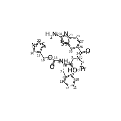 CC(C)CN(C[C@@H](O)[C@H](Cc1ccccc1)NC(=O)OCc1cncs1)C(=O)c1ccc2nc(N)sc2c1